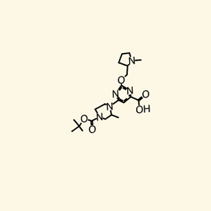 CC1CN(C(=O)OC(C)(C)C)CCN1c1cc(C(=O)O)nc(OCC2CCCN2C)n1